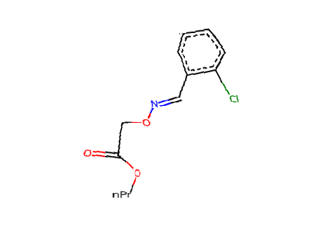 CCCOC(=O)CON=Cc1c[c]ccc1Cl